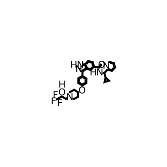 O=C(NC(c1ccccn1)C1CC1)c1ccc2[nH]nc(-c3ccc(OC4CCN(CC(O)C(F)(F)F)CC4)cc3)c2c1